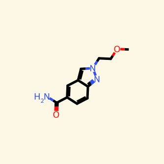 COCCn1cc2cc(C(N)=O)ccc2n1